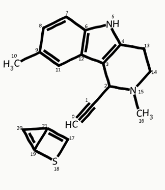 C#CC1c2c([nH]c3ccc(C)cc23)CCN1C.c1sc2cc1-2